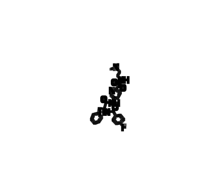 CN(C)CCNS(=O)(=O)c1ccc(NC(=O)[C@H](Cc2ccccc2)NC(=O)c2ccc(F)cc2)cn1